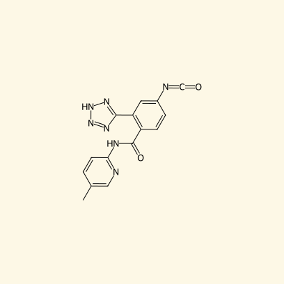 Cc1ccc(NC(=O)c2ccc(N=C=O)cc2-c2nn[nH]n2)nc1